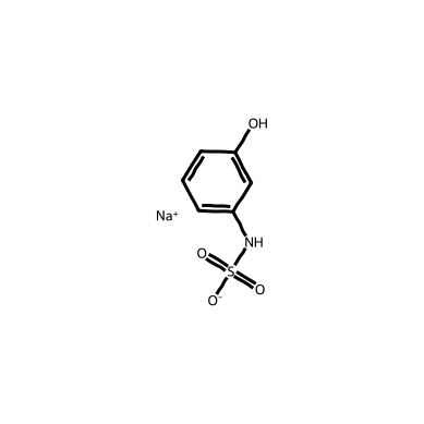 O=S(=O)([O-])Nc1cccc(O)c1.[Na+]